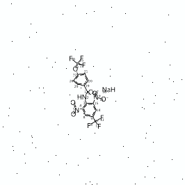 O=C(Nc1c([N+](=O)[O-])cc(C(F)(F)F)cc1[N+](=O)[O-])c1ccc(OC(F)(F)F)cc1.[NaH]